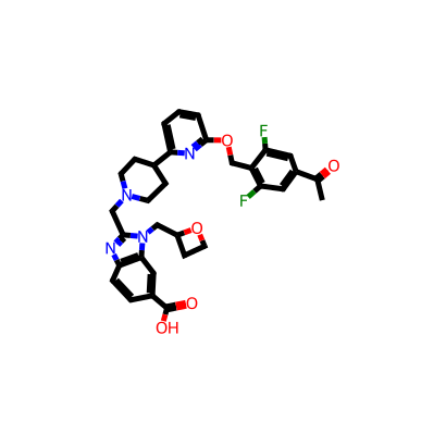 CC(=O)c1cc(F)c(COc2cccc(C3CCN(Cc4nc5ccc(C(=O)O)cc5n4CC4CCO4)CC3)n2)c(F)c1